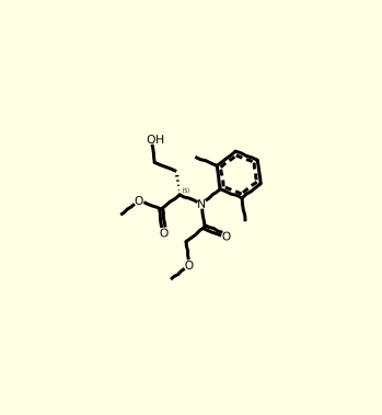 COCC(=O)N(c1c(C)cccc1C)[C@@H](CCO)C(=O)OC